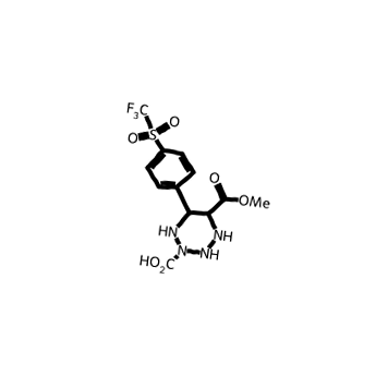 COC(=O)C1NNN(C(=O)O)NC1c1ccc(S(=O)(=O)C(F)(F)F)cc1